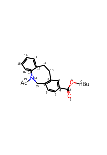 CCCCOC(=O)c1ccc2c(c1)CCc1ccccc1N(C(C)=O)C2